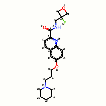 O=C(NCC1(F)COC1)c1ccc2cc(OCCCN3CCCCC3)ccc2n1